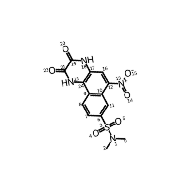 CN(C)S(=O)(=O)c1ccc2c(c1)c([N+](=O)[O-])cc1[nH]c(=O)c(=O)[nH]c12